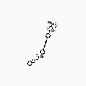 NC[C@H](NC(=O)c1ccc(C#CC#Cc2ccc(NC(=O)CNCc3ccccc3)cc2)cc1)C(=O)NO